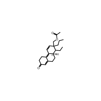 CCCC1(COC(C)=O)C=CC2=C3CCC(=O)C=C3CC[C@H]2C1CC